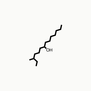 CCCCCCCC(O)CCCC(C)CC